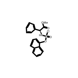 COC(=O)[C@@H](NP(=O)(Cl)Oc1cccc2ccccc12)c1ccccc1